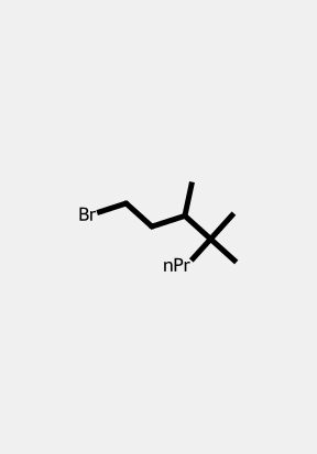 CCCC(C)(C)C(C)CCBr